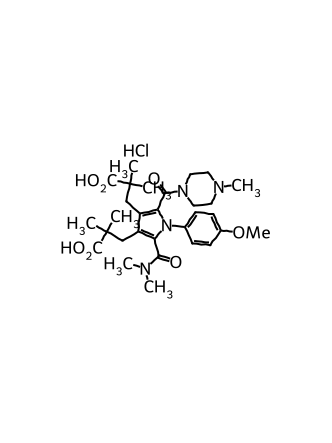 COc1ccc(-n2c(C(=O)N(C)C)c(CC(C)(C)C(=O)O)c(CC(C)(C)C(=O)O)c2C(=O)N2CCN(C)CC2)cc1.Cl